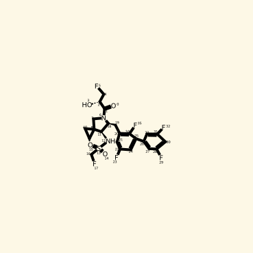 O=C([C@H](O)CF)N1CC2(CC2)[C@H](NS(=O)(=O)CF)[C@@H]1Cc1cc(F)cc(-c2cc(F)cc(F)c2)c1F